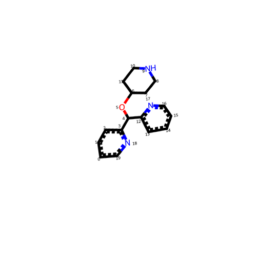 c1ccc(C(OC2CCNCC2)c2ccccn2)nc1